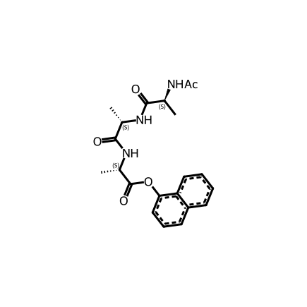 CC(=O)N[C@@H](C)C(=O)N[C@@H](C)C(=O)N[C@@H](C)C(=O)Oc1cccc2ccccc12